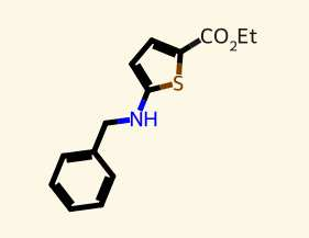 CCOC(=O)c1ccc(NCc2ccccc2)s1